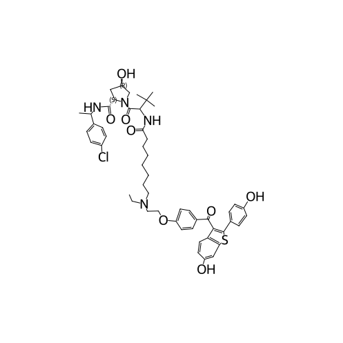 CCN(CCCCCCCC(=O)NC(C(=O)N1C[C@H](O)C[C@H]1C(=O)NC(C)c1ccc(Cl)cc1)C(C)(C)C)CCOc1ccc(C(=O)c2c(-c3ccc(O)cc3)sc3cc(O)ccc23)cc1